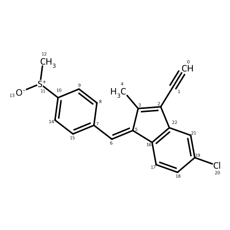 C#CC1=C(C)C(=Cc2ccc([S+](C)[O-])cc2)c2ccc(Cl)cc21